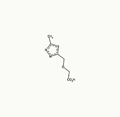 Cc1nnc(COCC(=O)O)s1